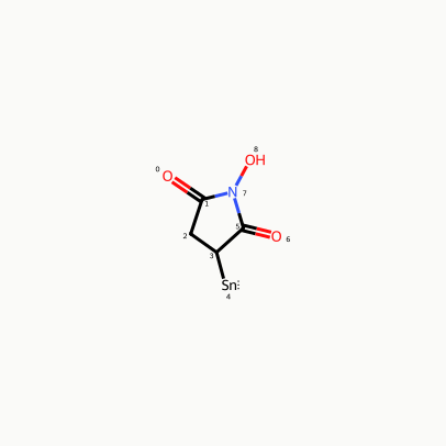 O=C1C[CH]([Sn])C(=O)N1O